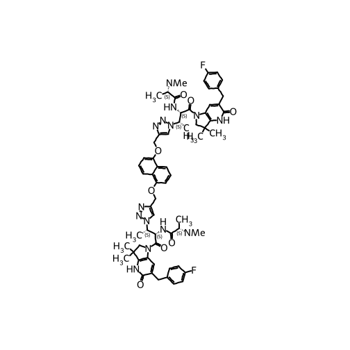 CN[C@@H](C)C(=O)N[C@H](C(=O)N1CC(C)(C)c2[nH]c(=O)c(Cc3ccc(F)cc3)cc21)[C@H](C)n1cc(COc2cccc3c(OCc4cn([C@@H](C)[C@H](NC(=O)[C@H](C)NC)C(=O)N5CC(C)(C)c6[nH]c(=O)c(Cc7ccc(F)cc7)cc65)nn4)cccc23)nn1